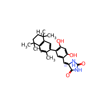 Cc1cc2c(cc1-c1cc(/C=C3\NC(=O)NC3=O)c(O)cc1O)C(C)(C)CCC2(C)C